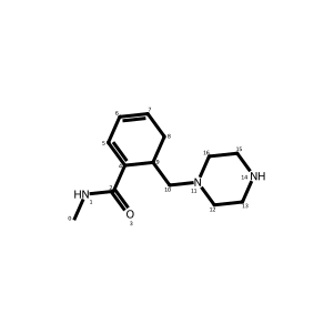 CNC(=O)C1=CC=CCC1CN1CCNCC1